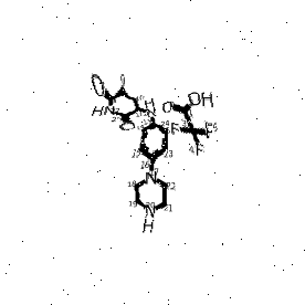 O=C(O)C(F)(F)F.O=C1CCC(Nc2ccc(N3CCNCC3)cc2)C(=O)N1